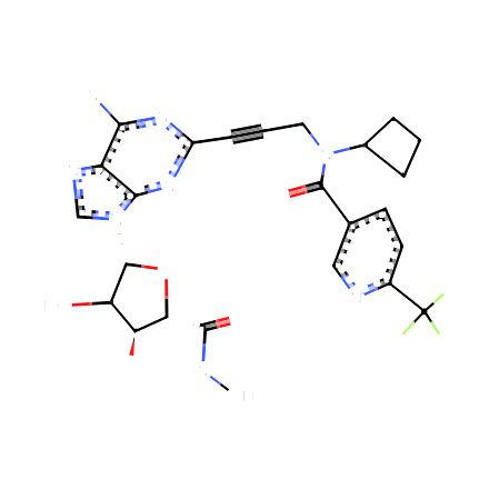 CNC(=O)[C@H]1O[C@@H](n2cnc3c(N)nc(C#CCN(C(=O)c4ccc(C(F)(F)F)nc4)C4CCC4)nc32)C(O)[C@@H]1O